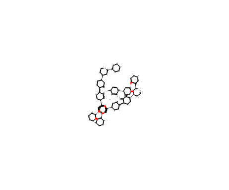 N#Cc1cccc(-c2ccc(-n3c4cc(-c5ccnc(-c6ccccc6)c5)ccc4c4ccc(-c5ccnc(-c6ccccc6)c5)cc43)c(C#N)c2-n2c3cc(-c4ccnc(-c5ccccc5)c4)ccc3c3ccc(-c4ccnc(-c5ccccc5)c4)cc32)c1